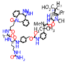 CN[C@H](C(=O)N[C@H](C(=O)N(C)[C@H](/C=C(\C)C(=O)O)C(C)C)C(C)(C)C)C(C)(C)c1cccc(NC(=O)OCc2ccc(NC(=O)[C@H](CCCNC(N)=O)NC(=O)[C@@H](NC(=O)CCC(=O)N3Cc4ccccc4-c4[nH]nnc4-c4ccccc43)C(C)C)cc2)c1